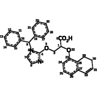 O=C(O)C(COc1nccn1C(c1ccccc1)c1ccccc1)Oc1cccc2c1CCC=C2